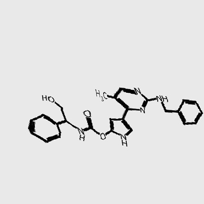 Cc1cnc(NCc2ccccc2)nc1-c1c[nH]c(OC(=O)NC(CO)c2ccccc2)c1